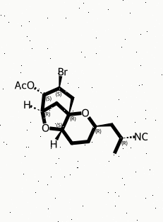 [C-]#[N+][C@H](C)C[C@H]1CC[C@@H]2O[C@@H]3C[C@]2(C[C@H](Br)[C@H]3OC(C)=O)O1